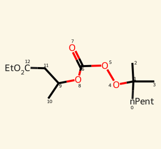 CCCCCC(C)(C)OOC(=O)OC(C)CC(=O)OCC